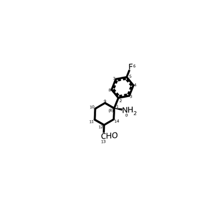 N[C@]1(c2ccc(F)cc2)CCCC(C=O)C1